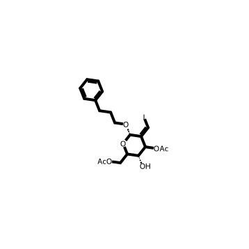 CC(=O)OCC1O[C@H](OCCCc2ccccc2)/C(=C\I)C(OC(C)=O)[C@@H]1O